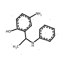 CC(Nc1ccccc1)c1cc(N)ccc1O